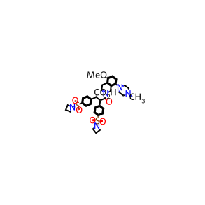 COc1ccc(N2CCN(C)CC2)c2c1CCN(C(=O)C(c1ccc(S(=O)(=O)N3CCC3)cc1)C(C(=O)O)c1ccc(S(=O)(=O)N3CCC3)cc1)C2